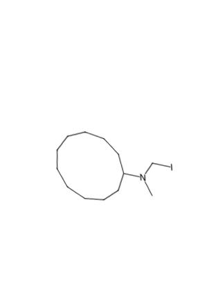 CN(CI)C1CCCCCCCCCC1